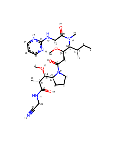 CC[C@H](C)[C@@H]([C@@H](CC(=O)N1CCC[C@H]1[C@H](OC)[C@@H](C)C(=O)NCC#N)OC)N(C)C(=O)CNc1ncccn1